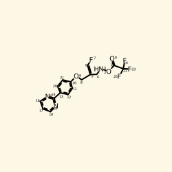 O=C(ONCC(=CF)COc1ccc(-c2ncccn2)cc1)C(F)(F)F